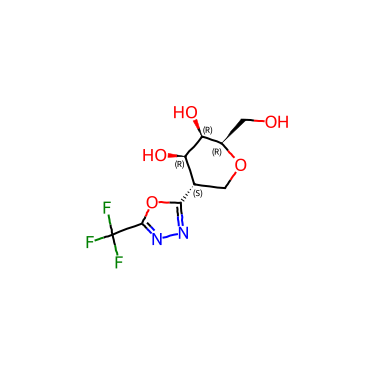 OC[C@H]1OC[C@H](c2nnc(C(F)(F)F)o2)[C@@H](O)[C@H]1O